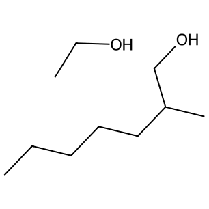 CCCCCC(C)CO.CCO